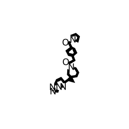 O=C(Cc1ccc(C(=O)N2CCCC2)cc1)N1CCCC2(CC1)CC2c1ccc2nncn2n1